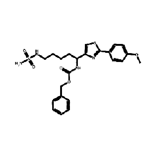 COc1ccc(-c2nc(C(CCCCNS(N)(=O)=O)NC(=O)OCc3ccccc3)cs2)cc1